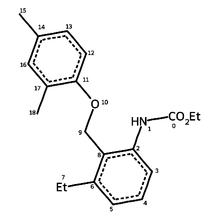 CCOC(=O)Nc1cccc(CC)c1COc1ccc(C)cc1C